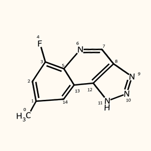 Cc1cc(F)c2ncc3nn[nH]c3c2c1